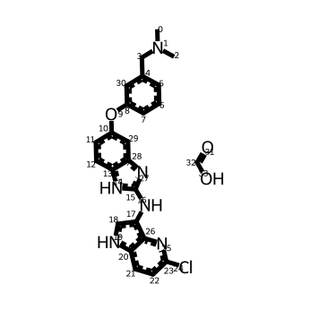 CN(C)Cc1cccc(Oc2ccc3[nH]c(Nc4c[nH]c5ccc(Cl)nc45)nc3c2)c1.O=CO